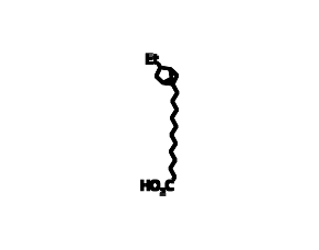 CCC1CC2=C(CCCCCCCCCCCC(=O)O)CC1C2